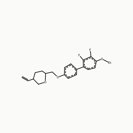 C=CC1CCC(COc2ccc(-c3ccc(OCC)c(F)c3F)cc2)OC1